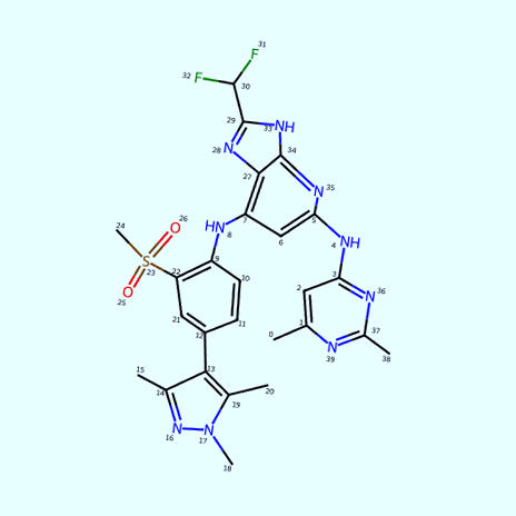 Cc1cc(Nc2cc(Nc3ccc(-c4c(C)nn(C)c4C)cc3S(C)(=O)=O)c3nc(C(F)F)[nH]c3n2)nc(C)n1